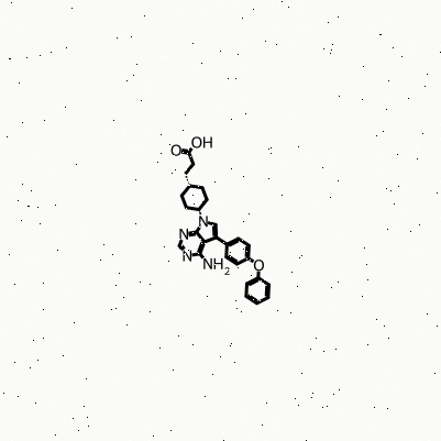 Nc1ncnc2c1c(-c1ccc(Oc3ccccc3)cc1)cn2[C@H]1CC[C@@H](CCC(=O)O)CC1